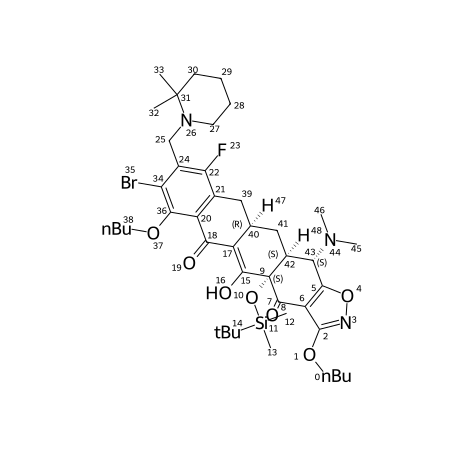 CCCCOc1noc2c1C(=O)[C@@]1(O[Si](C)(C)C(C)(C)C)C(O)=C3C(=O)c4c(c(F)c(CN5CCCCC5(C)C)c(Br)c4OCCCC)C[C@H]3C[C@H]1[C@@H]2N(C)C